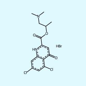 Br.CC(CN(C)C)OC(=O)c1cc(=O)c2c(Cl)cc(Cl)cc2[nH]1